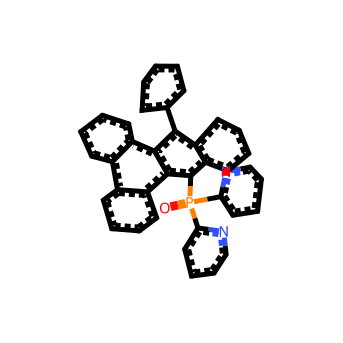 O=P(c1ccccn1)(c1ccccn1)c1c2ccccc2c(-c2ccccc2)c2c3ccccc3c3ccccc3c12